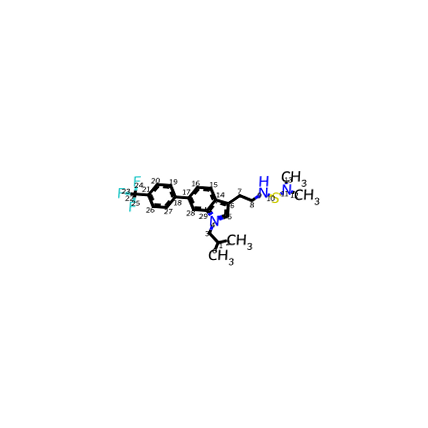 CC(C)Cn1cc(CCNSN(C)C)c2ccc(-c3ccc(C(F)(F)F)cc3)cc21